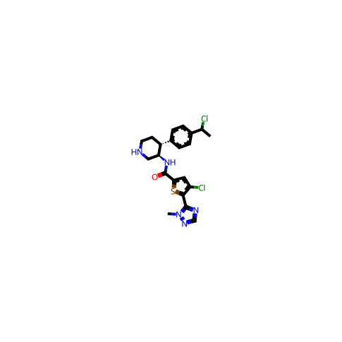 CC(Cl)c1ccc([C@H]2CCNC[C@@H]2NC(=O)c2cc(Cl)c(-c3ncnn3C)s2)cc1